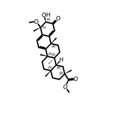 COC(=O)[C@]1(C)CC[C@]2(C)CC[C@]3(C)C4=CC=C5C(=CC(=O)[C@H](O)[C@@]5(C)OC)[C@]4(C)CC[C@@]3(C)[C@@H]2C1